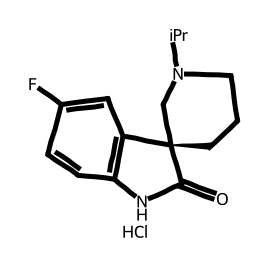 CC(C)N1CCC[C@@]2(C1)C(=O)Nc1ccc(F)cc12.Cl